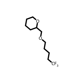 FC(F)(F)CCCCOCC1CCCCO1